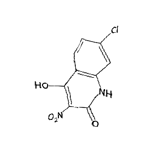 O=c1[nH]c2cc(Cl)ccc2c(O)c1[N+](=O)[O-]